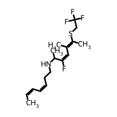 C/C=C\C=C/CCNC(C)/C(F)=C\C(C)=C(/C)SCC(F)(F)F